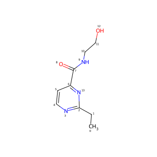 CCc1nccc(C(=O)NCCO)n1